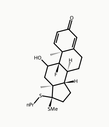 CCCS[C@@]1(SC)CC[C@H]2[C@@H]3CCC4=CC(=O)C=C[C@]4(C)[C@@]3(F)C(O)C[C@@]21C